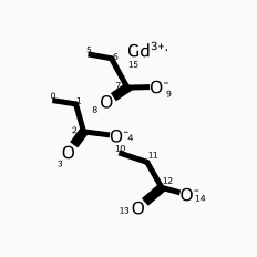 CCC(=O)[O-].CCC(=O)[O-].CCC(=O)[O-].[Gd+3]